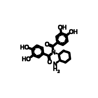 N[C@@H]1CCCC[C@H]1N(C(=O)c1ccc(O)c(O)c1)C(=O)c1ccc(O)c(O)c1